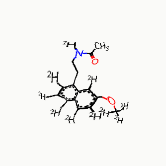 [2H]c1c([2H])c(CCN([2H])C(C)=O)c2c([2H])c(OC([2H])([2H])[2H])c([2H])c([2H])c2c1[2H]